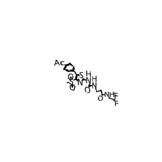 CC(=O)c1ccc(-c2sc(NC(=O)NCCC(=O)NCC(F)F)nc2S(C)(=O)=O)cc1